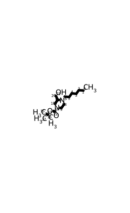 CCCCCCCN1CCN(C(=O)OC(C)(C)C)CC1CO